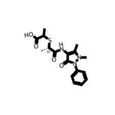 Cc1c(NC(=O)[C@H](C)SC(C)C(=O)O)c(=O)n(-c2ccccc2)n1C